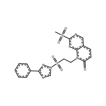 CS(=O)(=O)c1ncc2ccc(=O)n(CCS(=O)(=O)n3cnc(-c4ccccc4)n3)c2n1